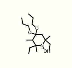 CCCOC1(OCCC)CC(C)(CC)N(O)C(C)(CC)C1C